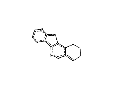 C1=c2cnc3c(c2CCC1)C=c1ccccc1=3